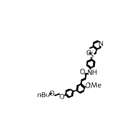 CCCCOCCOc1ccc(-c2ccc(OC)c(/C=C/C(=O)Nc3ccc([S+]([O-])Cc4cnccc4C)cc3)c2)cc1